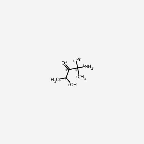 CC(O)C(=O)C(C)(N)C(C)C